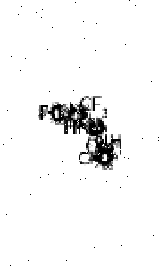 O=C(Nc1ccnc(Nc2cc(C(F)(F)F)nc(N3CCC(F)CC3)n2)c1)c1c(Cl)cccc1Cl